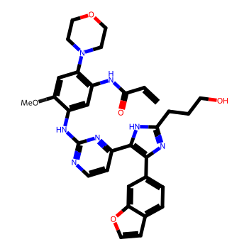 C=CC(=O)Nc1cc(Nc2nccc(-c3[nH]c(CCCO)nc3-c3ccc4ccoc4c3)n2)c(OC)cc1N1CCOCC1